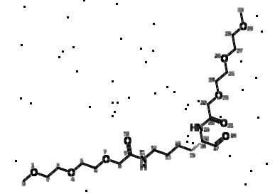 COCCOCCOCC(=O)NCCCC[C@@H](C=O)NC(=O)COCCOCCOC